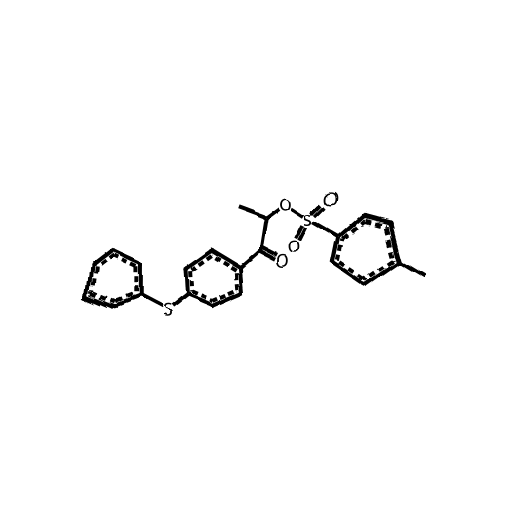 Cc1ccc(S(=O)(=O)OC(C)C(=O)c2ccc(Sc3ccccc3)cc2)cc1